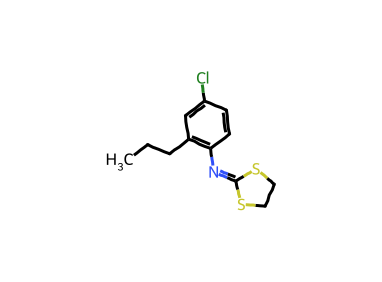 CCCc1cc(Cl)ccc1N=C1SCCS1